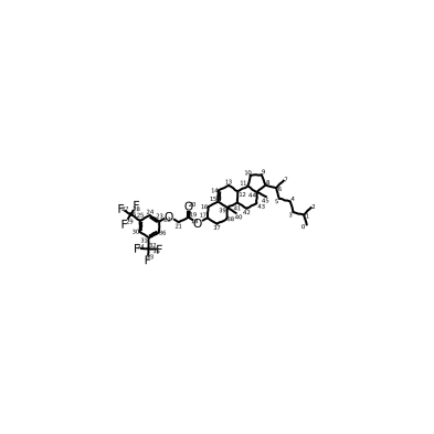 CC(C)CCCC(C)C1CCC2C3CC=C4CC(OC(=O)COc5cc(C(F)(F)F)cc(C(F)(F)F)c5)CCC4(C)C3CCC12C